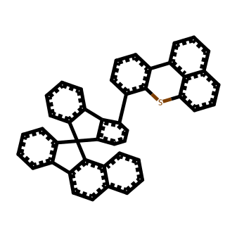 c1ccc2c(c1)-c1ccc3ccccc3c1C21c2ccccc2-c2c(-c3cccc4c3Sc3cccc5cccc-4c35)cccc21